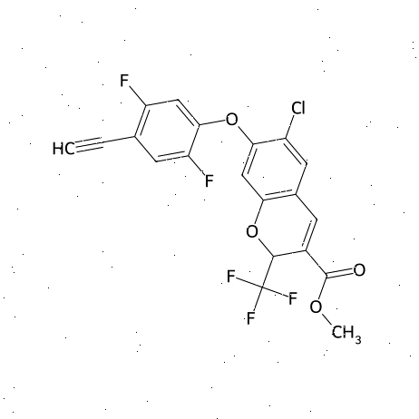 C#Cc1cc(F)c(Oc2cc3c(cc2Cl)C=C(C(=O)OC)C(C(F)(F)F)O3)cc1F